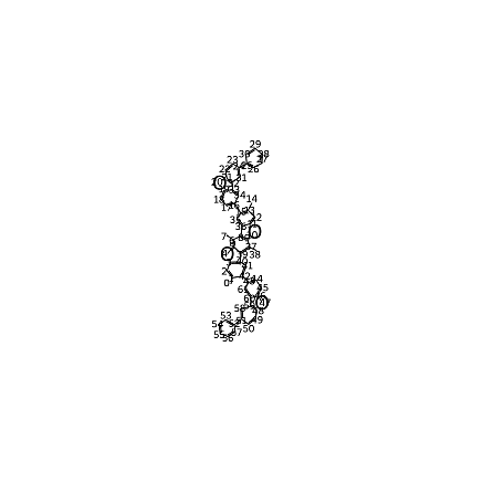 Cc1cc2oc3c(C)c4c(oc5cc(C)c(-c6ccc7oc8ccc(-c9ccccc9)cc8c7c6)cc54)c(C)c3c2cc1-c1ccc2oc3ccc(-c4ccccc4)cc3c2c1